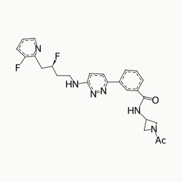 CC(=O)N1CC(NC(=O)c2cccc(-c3ccc(NCC[C@H](F)Cc4ncccc4F)nn3)c2)C1